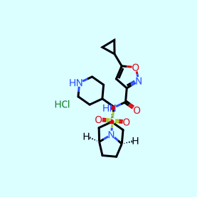 Cl.O=C(N[C@@H]1C[C@H]2CC[C@@H](C1)N2S(=O)(=O)CC1CCNCC1)c1cc(C2CC2)on1